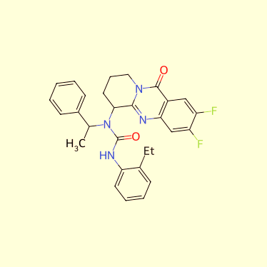 CCc1ccccc1NC(=O)N(C(C)c1ccccc1)C1CCCn2c1nc1cc(F)c(F)cc1c2=O